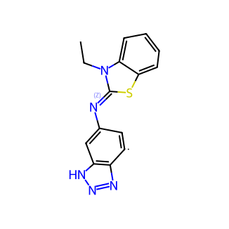 CCn1/c(=N/c2c[c]c3nn[nH]c3c2)sc2ccccc21